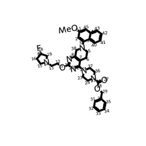 COc1cc(N2CCc3c(nc(OCCN4CC[C@H](F)C4)nc3N3CCN(C(=O)OCc4ccccc4)CC3)C2)c2ccccc2c1